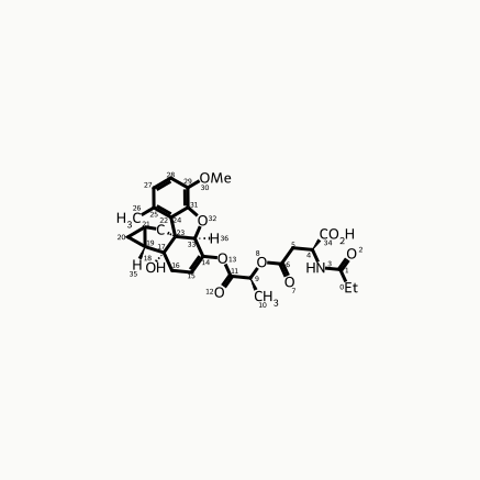 CCC(=O)N[C@@H](CC(=O)O[C@@H](C)C(=O)OC1=CC[C@@]2(O)[C@@H]3CC3C[C@@]23c2c(C)ccc(OC)c2O[C@@H]13)C(=O)O